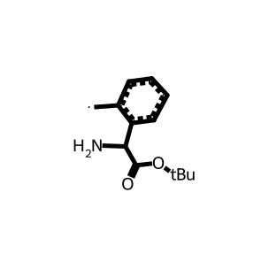 [CH2]c1ccccc1C(N)C(=O)OC(C)(C)C